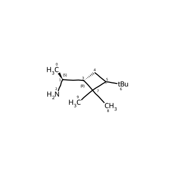 C[C@H](N)[C@@H]1C[C](C(C)(C)C)C1(C)C